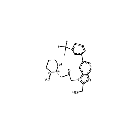 O=C(C[C@H]1NCCC[C@@H]1O)Cn1c(CO)nc2ccc(-c3cccc(C(F)(F)F)c3)cc21